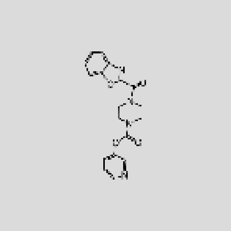 O=C(Oc1cccnc1)N1CCN(C(=O)c2nc3ccccc3o2)CC1